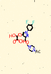 CC(=O)N1CCN(COCc2ccn(-c3ccc(F)c(F)c3)n2)CC1.O=C(O)C(=O)O